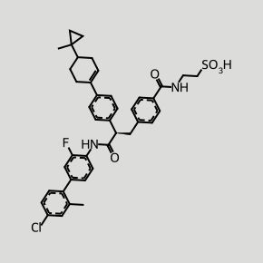 Cc1cc(Cl)ccc1-c1ccc(NC(=O)[C@H](Cc2ccc(C(=O)NCCS(=O)(=O)O)cc2)c2ccc(C3=CCC(C4(C)CC4)CC3)cc2)c(F)c1